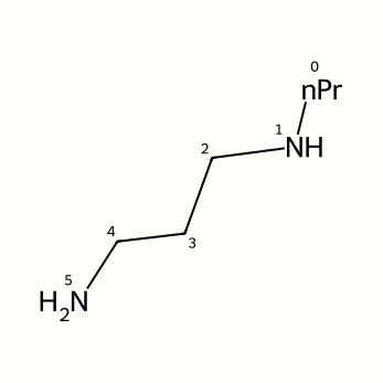 C[CH]CNCCCN